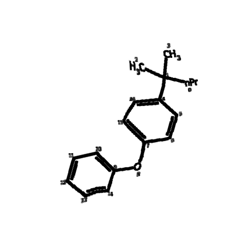 CCCC(C)(C)c1ccc(Oc2ccccc2)cc1